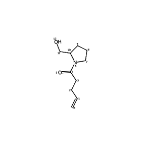 C=CCCC(=O)N1CCCC1CO